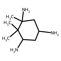 CC1(N)CC(N)CC(N)C1(C)C